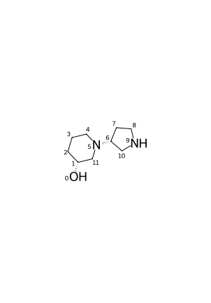 O[C@@H]1CCCN([C@@H]2CCNC2)C1